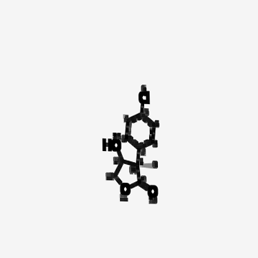 C[C@]1(c2ccc(Cl)cc2)C(=O)OCC1O